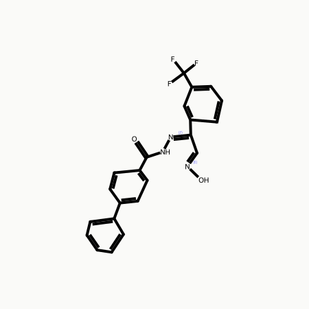 O=C(N/N=C(\C=N\O)c1cccc(C(F)(F)F)c1)c1ccc(-c2ccccc2)cc1